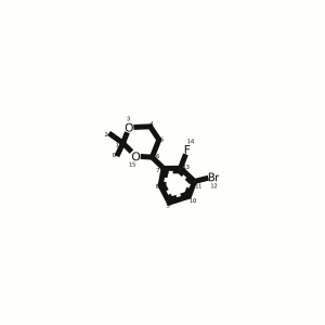 CC1(C)OCCC(c2cccc(Br)c2F)O1